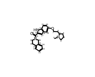 CN1CCCC1CCOc1ccc2[nH]c(C(=O)N3CCc4ccccc4C3)cc2c1